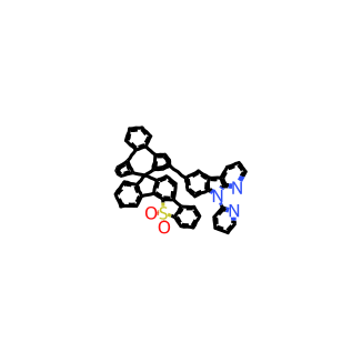 O=S1(=O)c2ccccc2-c2ccc3c(c21)-c1ccccc1C31c2ccccc2-c2ccccc2-c2ccc(-c3ccc4c(c3)c3cccnc3n4-c3ccccn3)cc21